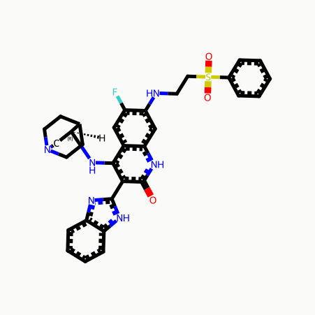 O=c1[nH]c2cc(NCCS(=O)(=O)c3ccccc3)c(F)cc2c(N[C@H]2CN3CCC2CC3)c1-c1nc2ccccc2[nH]1